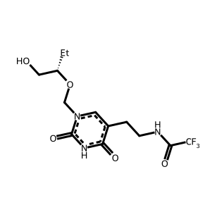 CC[C@@H](CO)OCn1cc(CCNC(=O)C(F)(F)F)c(=O)[nH]c1=O